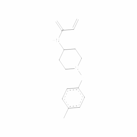 C=CC(=C)NC1CCN(Sc2ccc(C)cc2)CC1